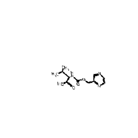 CC(C)[C@H](NC(=O)OCc1cnccn1)C(=O)O